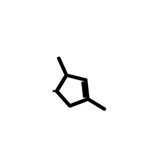 CC1=CC(C)[CH]C1